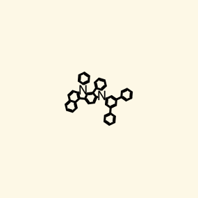 c1ccc(-c2cc(-c3ccccc3)cc(-n3c4ccccc4c4c3ccc3c5c6ccccc6ccc5n(-c5ccccc5)c34)c2)cc1